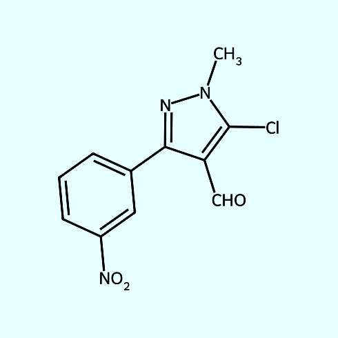 Cn1nc(-c2cccc([N+](=O)[O-])c2)c(C=O)c1Cl